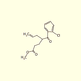 C=CCC(CCC(=O)OC)C(=O)c1ccccc1Cl